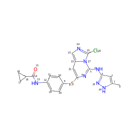 Cc1cc(Nc2nc(Sc3ccc(NC(=O)C4CC4)cc3)cc3cnc(Cl)n23)n[nH]1